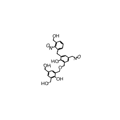 O=NCc1cc(COCc2cc(CO)cc(CO)c2O)c(O)c(Cc2cccc(CO)c2N=O)c1